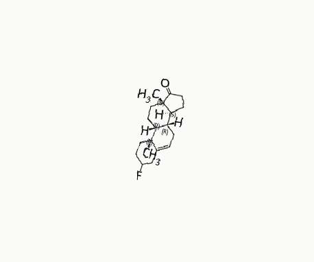 C[C@]12CCC(F)CC1=CC[C@@H]1[C@H]2CC[C@]2(C)C(=O)CC[C@@H]12